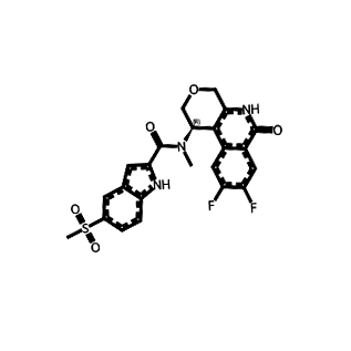 CN(C(=O)c1cc2cc(S(C)(=O)=O)ccc2[nH]1)[C@H]1COCc2[nH]c(=O)c3cc(F)c(F)cc3c21